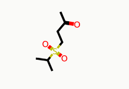 CC(=O)CCS(=O)(=O)C(C)C